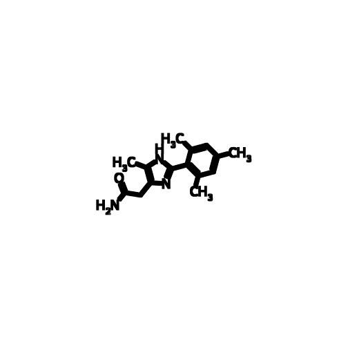 Cc1cc(C)c(-c2nc(CC(N)=O)c(C)[nH]2)c(C)c1